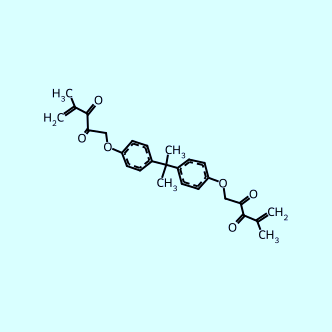 C=C(C)C(=O)C(=O)COc1ccc(C(C)(C)c2ccc(OCC(=O)C(=O)C(=C)C)cc2)cc1